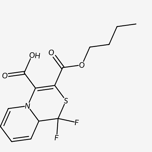 CCCCOC(=O)C1=C(C(=O)O)N2C=CC=CC2C(F)(F)S1